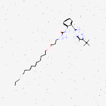 CCCCCCCCCCCCCCOC(=O)CCNC(=O)Nc1ccccc1-c1nn2nc(C(C)(C)C)c(Cl)c2[nH]1